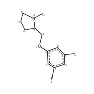 Cc1cc(F)cc(OCC2CCCN2C)c1